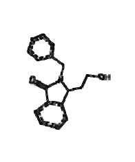 O=C1c2ccccc2C(CCO)N1Cc1ccccc1